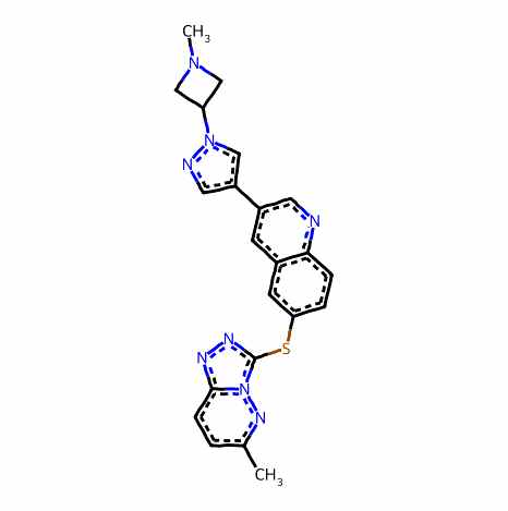 Cc1ccc2nnc(Sc3ccc4ncc(-c5cnn(C6CN(C)C6)c5)cc4c3)n2n1